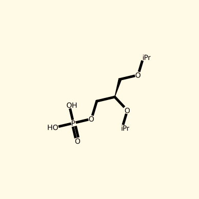 CC(C)OC[C@H](COP(=O)(O)O)OC(C)C